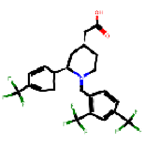 O=C(O)C[C@H]1CCN(Cc2ccc(C(F)(F)F)cc2C(F)(F)F)[C@@H](C2C=CC(C(F)(F)F)=CC2)C1